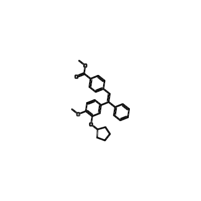 COC(=O)c1ccc(C=C(c2ccccc2)c2ccc(OC)c(OC3CCCC3)c2)cc1